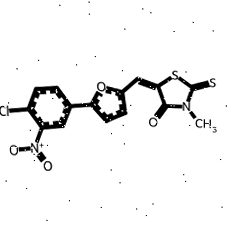 CN1C(=O)/C(=C\c2ccc(-c3ccc(Cl)c([N+](=O)[O-])c3)o2)SC1=S